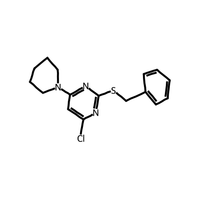 Clc1cc(N2CCCCC2)nc(SCc2ccccc2)n1